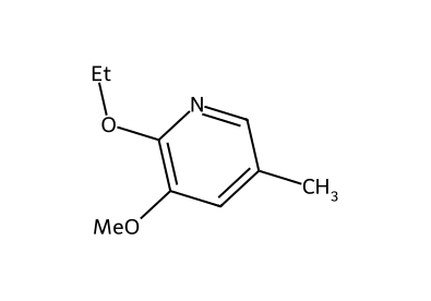 CCOc1ncc(C)cc1OC